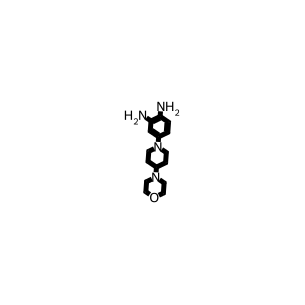 Nc1ccc(N2CCC(N3CCOCC3)CC2)cc1N